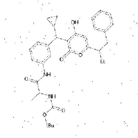 CCC(Cc1ccccc1)c1cc(O)c(C(c2cccc(NC(=O)C(C)NC(=O)OC(C)(C)C)c2)C2CC2)c(=O)o1